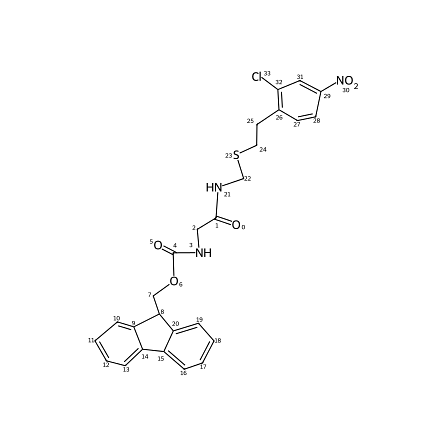 O=C(CNC(=O)OCC1c2ccccc2-c2ccccc21)NCSCCc1ccc([N+](=O)[O-])cc1Cl